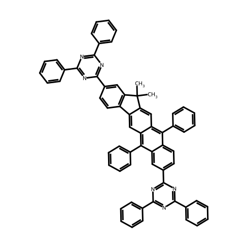 CC1(C)c2cc(-c3nc(-c4ccccc4)nc(-c4ccccc4)n3)ccc2-c2cc3c(-c4ccccc4)c4cc(-c5nc(-c6ccccc6)nc(-c6ccccc6)n5)ccc4c(-c4ccccc4)c3cc21